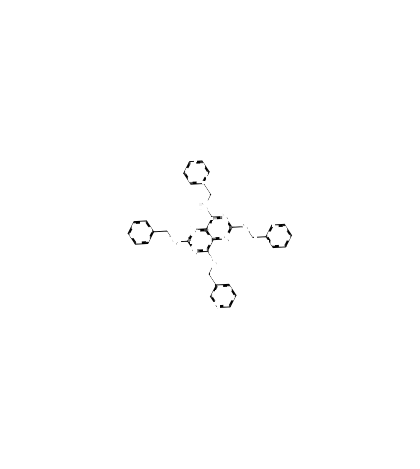 c1ccc(CNc2nc(NCc3ccccc3)c3nc(NCc4ccccc4)nc(NCc4ccccc4)c3n2)cc1